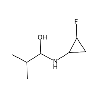 CC(C)C(O)NC1CC1F